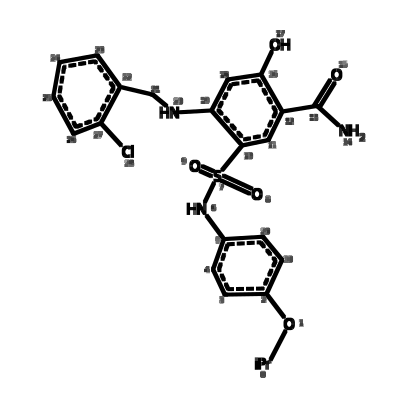 CC(C)Oc1ccc(NS(=O)(=O)c2cc(C(N)=O)c(O)cc2NCc2ccccc2Cl)cc1